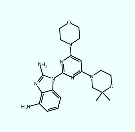 CC1(C)CN(c2cc(N3CCOCC3)nc(-n3c(N)nc4c(N)cccc43)n2)CCO1